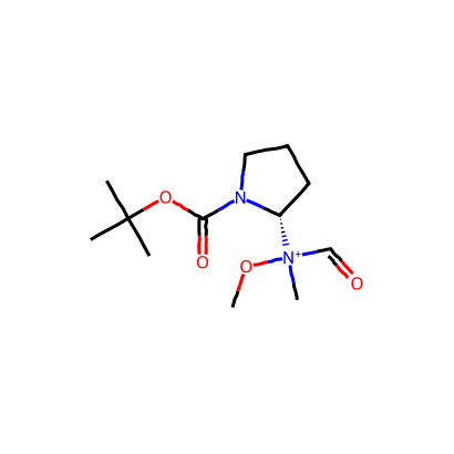 CO[N+](C)(C=O)[C@H]1CCCN1C(=O)OC(C)(C)C